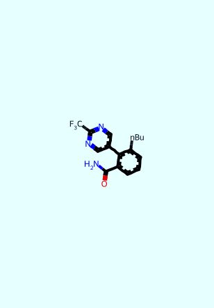 CCCCc1cccc(C(N)=O)c1-c1cnc(C(F)(F)F)nc1